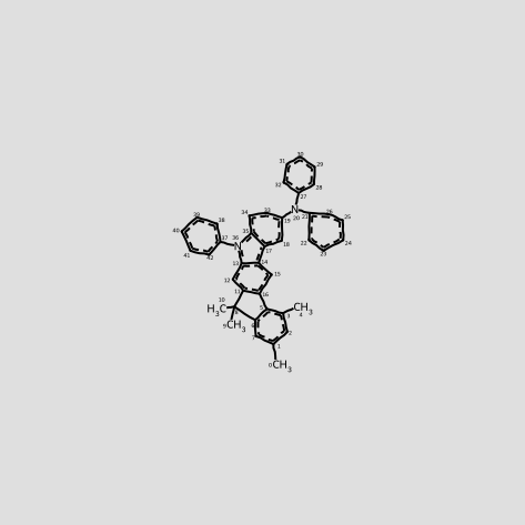 Cc1cc(C)c2c(c1)C(C)(C)c1cc3c(cc1-2)c1cc(N(c2ccccc2)c2ccccc2)ccc1n3-c1ccccc1